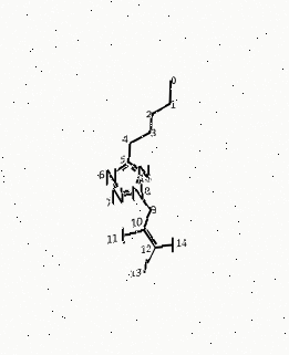 CCCCCc1nnn(CC(I)=C(I)I)n1